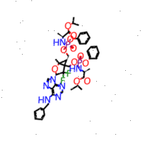 CC(C)OC(=O)[C@H](C)NP(=O)(OC[C@H]1C2(C)O[C@@H](n3cnc4c(NCc5ccccc5)ncnc43)C(F)(F)C12COP(=O)(N[C@@H](C)C(=O)OC(C)C)Oc1ccccc1)Oc1ccccc1